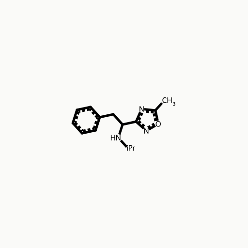 Cc1nc(C(Cc2ccccc2)NC(C)C)no1